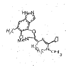 CN/C(Oc1c(Cl)c(C)cc2[nH]ncc12)=C(C)/N=C(/Cl)N(C)C